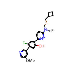 CCCN(CSCC1CCC1)c1ccc(-c2cc(F)c(-c3cncc(OC)c3)cc2O)nn1